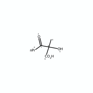 CCCC(=O)C(C)(O)C(=O)O